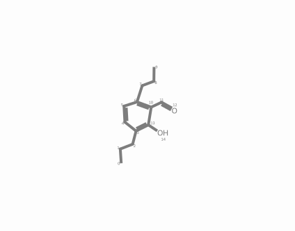 CCCc1ccc(CCC)c(C=O)c1O